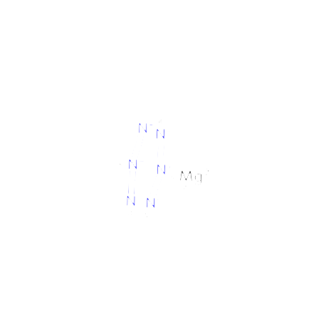 [Mg+2].[N-]=[N+]=[N-].[N-]=[N+]=[N-]